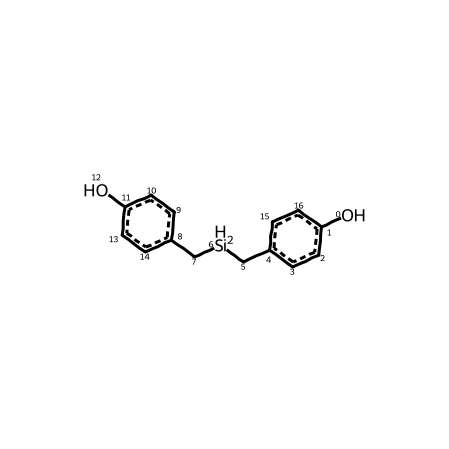 Oc1ccc(C[SiH2]Cc2ccc(O)cc2)cc1